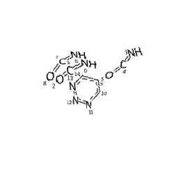 N=C=O.N=C=O.N=C=O.c1cnnnc1